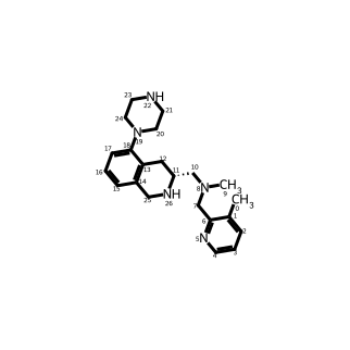 Cc1cccnc1CN(C)C[C@H]1Cc2c(cccc2N2CCNCC2)CN1